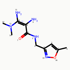 Cc1cc(CNC(=O)/C(N)=C(/N)N(C)C)no1